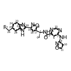 C[C@H](NC(=O)c1cc(Nc2ccon2)ncn1)c1cc(-c2nc3ccc(CF)cc3[nH]2)no1